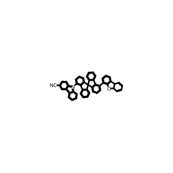 N#Cc1ccc2c(c1)c1ccccc1n2-c1cccc2c1-c1ccccc1C21c2ccccc2-c2c(-c3cccc4c3OC3C=CC=CC43)cccc21